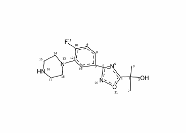 CC(C)(O)c1nc(-c2ccc(F)c(N3CCNCC3)c2)no1